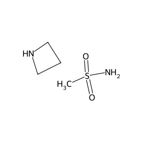 C1CNC1.CS(N)(=O)=O